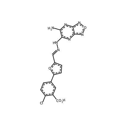 Nc1nc2nonc2nc1NN=Cc1ccc(-c2ccc(Cl)c(C(=O)O)c2)o1